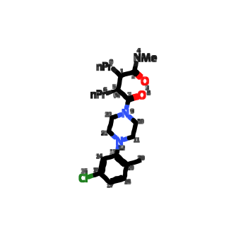 CCCC(C(=O)NC)[C@H](CCC)C(=O)N1CCN(c2cc(Cl)ccc2C)CC1